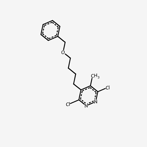 Cc1c(Cl)nnc(Cl)c1CCCCOCc1ccccc1